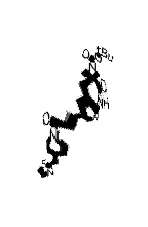 CC(C)(C)OC(=O)N1CC2(Cc3cc(/C=C/C(=O)N4CC=C(Cc5nccs5)CC4)cnc3NC2=O)C1